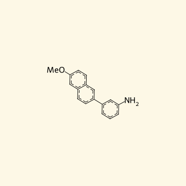 COc1ccc2cc(-c3cccc(N)c3)ccc2c1